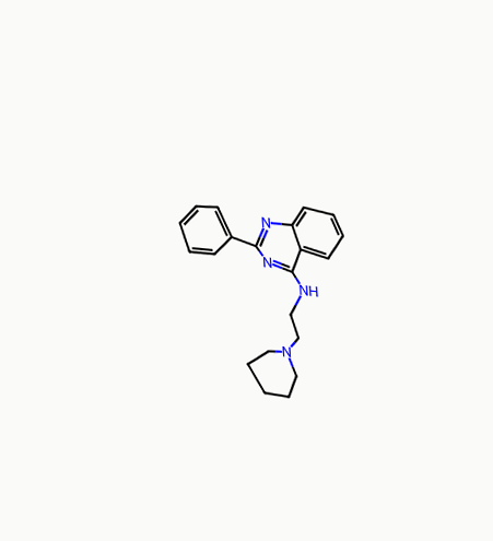 c1ccc(-c2nc(NCCN3CCCCC3)c3ccccc3n2)cc1